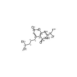 CCC(CC)CCCc1cc(=O)oc2nc(C(F)F)[nH]c(=O)c12